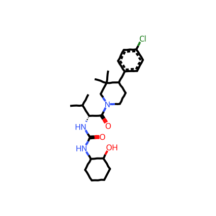 CC(C)[C@@H](NC(=O)NC1CCCCC1O)C(=O)N1CCC(c2ccc(Cl)cc2)C(C)(C)C1